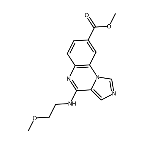 COCCNc1nc2ccc(C(=O)OC)cc2n2cncc12